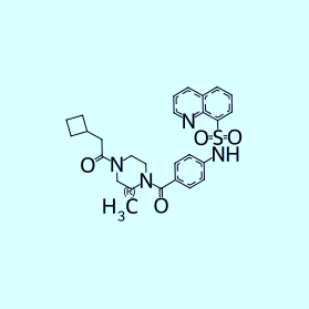 C[C@@H]1CN(C(=O)CC2CCC2)CCN1C(=O)c1ccc(NS(=O)(=O)c2cccc3cccnc23)cc1